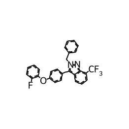 Fc1ccccc1Oc1ccc(-c2c3cccc(C(F)(F)F)c3nn2Cc2ccccc2)cc1